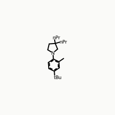 CCCC1(CCC)CCN(c2ccc(C(C)(C)C)cc2C)C1